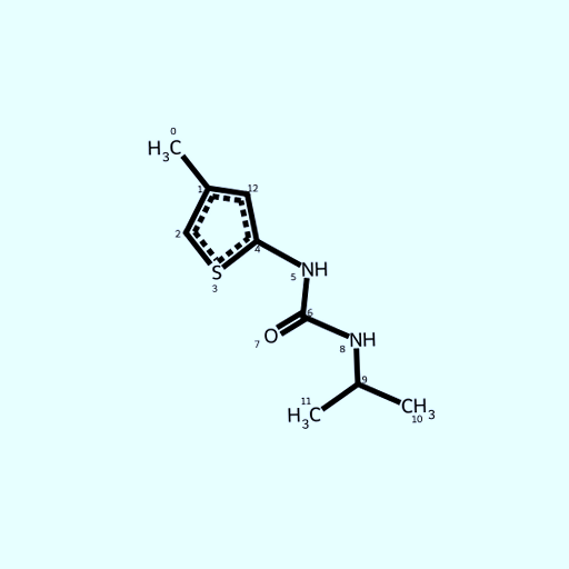 Cc1csc(NC(=O)NC(C)C)c1